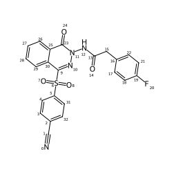 N#Cc1ccc(S(=O)(=O)c2nn(NC(=O)Cc3ccc(F)cc3)c(=O)c3ccccc23)cc1